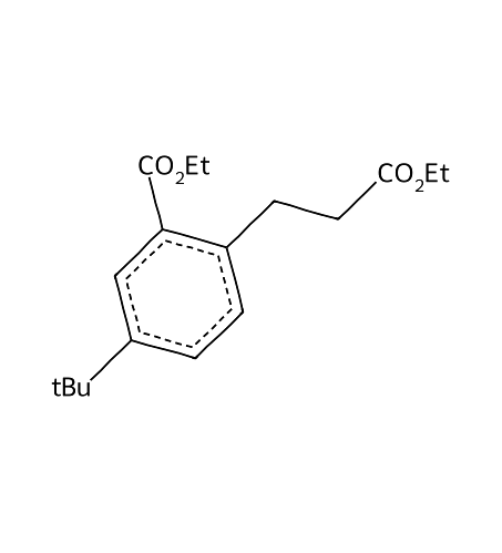 CCOC(=O)CCc1ccc(C(C)(C)C)cc1C(=O)OCC